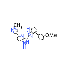 COc1cccc(-c2cccc3[nH]c(-c4n[nH]c5ccc(-c6cnn(C)c6)nc45)nc23)c1